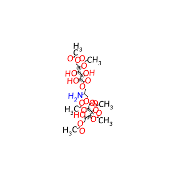 CC(=O)OC[C@@H](O)[C@@H](OC(C)=O)[C@H](OC(C)=O)[C@@H](OC(C)=O)C(=O)OCC(N)COC(=O)[C@H](O)[C@@H](O)[C@H](O)[C@@H](COC(C)=O)OC(C)=O